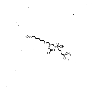 CCCCCCCCCCCCCCCOCC(COP(=O)(O)CCCN(C)C)OC(=O)CC